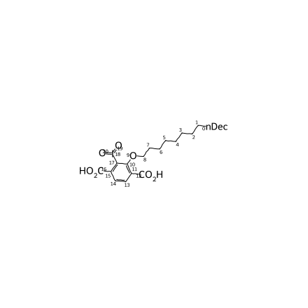 CCCCCCCCCCCCCCCCCCOc1c(C(=O)O)ccc(C(=O)O)c1I(=O)=O